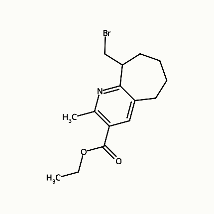 CCOC(=O)c1cc2c(nc1C)C(CBr)CCCC2